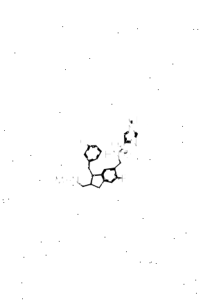 CNCC1Cc2cc(F)c(CNS(=O)(=O)c3cn(C)cn3)cc2C1Cc1cccc(C(F)(F)F)c1